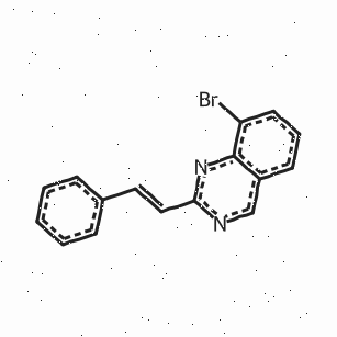 Brc1cccc2cnc(C=Cc3ccccc3)nc12